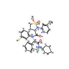 N#Cc1ccnc(N2C(C(=O)N(c3cccc(F)c3)[C@H](C(=O)NC3CCCCC3)c3ccccc3Cl)CCS2(=O)=O)c1